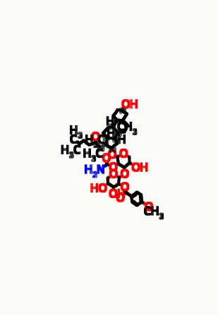 COc1ccc(C(=O)OC2C(OC3C(O)COC(O[C@H]4C[C@H]5[C@@H]6CC=C7C[C@@H](O)CC[C@]7(C)[C@H]6CC[C@]5(C)[C@H]4[C@H](C)C(=O)CCC(C)C)C3OC(N)=O)OCC(O)C2O)cc1